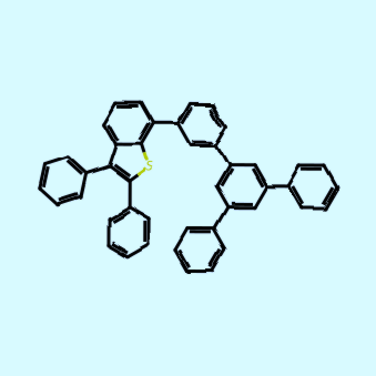 c1ccc(-c2cc(-c3ccccc3)cc(-c3cccc(-c4cccc5c(-c6ccccc6)c(-c6ccccc6)sc45)c3)c2)cc1